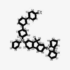 CCc1ccc(-c2cccc(-c3ccc(N(c4ccccc4)c4ccc5c(c4)C(C)(C)c4cc(-n6c7ccccc7c7ccccc76)ccc4-5)cc3)c2)cc1